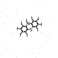 Ic1c(I)c(I)c2c(c1I)Sc1c(I)c(I)c(I)c(I)c1N2I